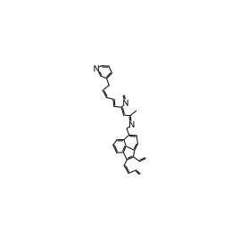 C=C/C=C\C1=C(C=C)c2ccc(C\N=C(C)/C=C(/C=C/C=C\Cc3cccnc3)N=C)c3cccc1c23